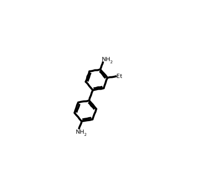 CCc1cc(-c2ccc(N)cc2)ccc1N